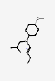 CC/C=C/N(CC(C)C)[C@H]1CC[C@H](OC)CC1